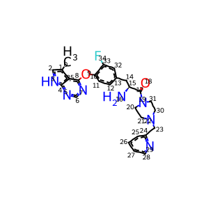 Cc1c[nH]c2ncnc(Oc3ccc(C[C@H](N)C(=O)N4CCN(Cc5ccccn5)CC4)cc3F)c12